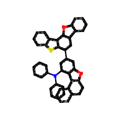 c1ccc(N(c2ccccc2)c2cc(-c3cc4c5ccccc5oc4c4c3sc3ccccc34)cc3oc4ccc5ccccc5c4c23)cc1